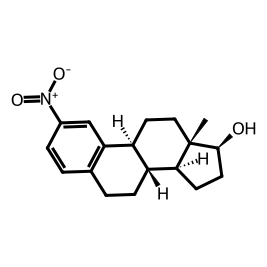 C[C@]12CC[C@@H]3c4cc([N+](=O)[O-])ccc4CC[C@H]3[C@@H]1CC[C@@H]2O